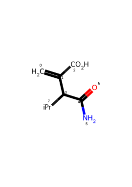 C=C(C(=O)O)C(C(N)=O)C(C)C